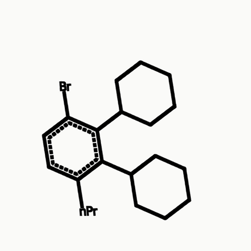 CCCc1ccc(Br)c(C2CCCCC2)c1C1CCCCC1